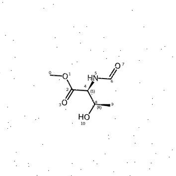 COC(=O)[C@@H](NC=O)[C@@H](C)O